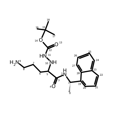 C[C@H](NC(=O)C(CCCN)NNC(=O)OC(C)(C)C)c1cccc2ccccc12